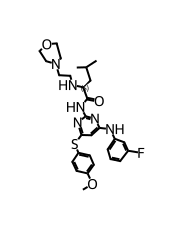 COc1ccc(Sc2cc(Nc3cccc(F)c3)nc(NC(=O)[C@H](CC(C)C)NCCN3CCOCC3)n2)cc1